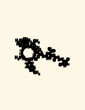 C=CC[C@H]1C(=O)C(C)(C)[C@@H](OC(=O)OCc2ccc(OC(=O)CCCN3C(=O)C=CC3=O)c([N+](=O)[O-])c2)CC(=O)O[C@H](c2ccc3sc(C)nc3c2)C/C=C(/C)CCC[C@H](C)[C@@H]1O[Si](C)(C)C(C)(C)C